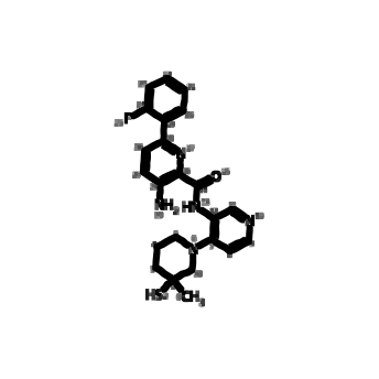 CC1(S)CCCN(c2ccncc2NC(=O)c2nc(-c3ccccc3F)ccc2N)C1